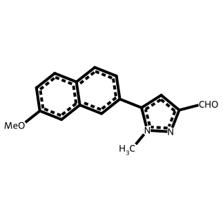 COc1ccc2ccc(-c3cc(C=O)nn3C)cc2c1